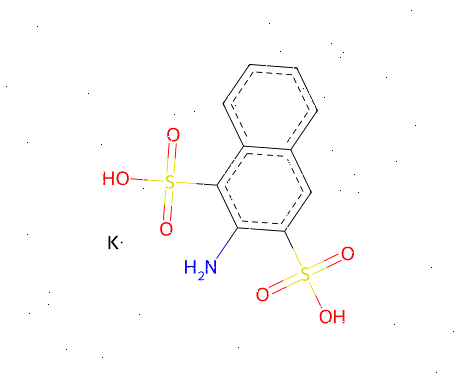 Nc1c(S(=O)(=O)O)cc2ccccc2c1S(=O)(=O)O.[K]